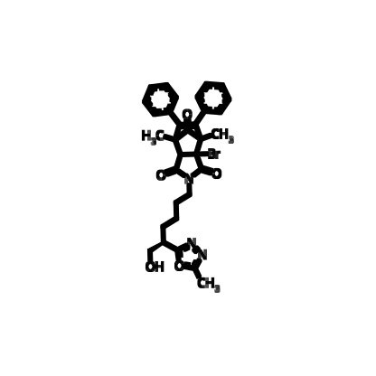 Cc1nnc([C@@H](CO)CCCCN2C(=O)C3C4(C)C(=O)C(C)(C(c5ccccc5)=C4c4ccccc4)C3(Br)C2=O)o1